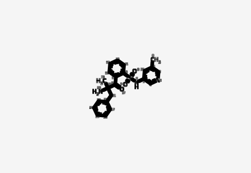 Cc1cncc(NS(=O)(=O)c2ccccc2C(=O)C(C)(N)Cc2ccccc2)c1